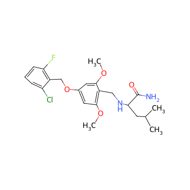 COc1cc(OCc2c(F)cccc2Cl)cc(OC)c1CNC(CC(C)C)C(N)=O